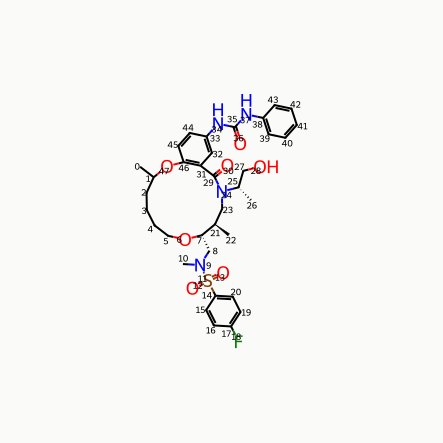 CC1CCCCO[C@@H](CN(C)S(=O)(=O)c2ccc(F)cc2)[C@H](C)CN([C@@H](C)CO)C(=O)c2cc(NC(=O)Nc3ccccc3)ccc2O1